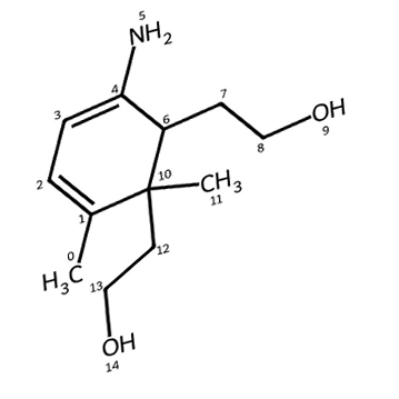 CC1=CC=C(N)C(CCO)C1(C)CCO